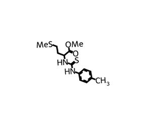 COC(=O)C(CCSC)NC(=S)Nc1ccc(C)cc1